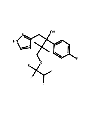 CC(C)(CSC(F)(F)C(F)F)C(O)(Cc1nc[nH]n1)c1ccc(F)cc1